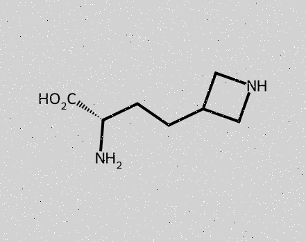 N[C@@H](CCC1CNC1)C(=O)O